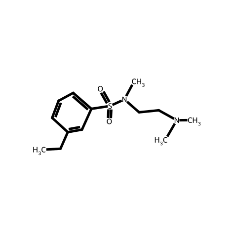 CCc1cccc(S(=O)(=O)N(C)CCN(C)C)c1